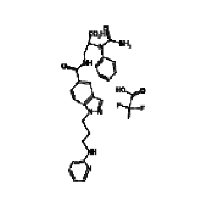 NC(=O)N(c1ccccc1)C(CNC(=O)c1ccc2c(cnn2CCCNc2ccccn2)c1)C(=O)O.O=C(O)C(F)(F)F